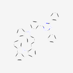 c1ccc(-c2nc(-c3ccccc3)nc(-c3cccc(-n4c5ccccc5c5cc(-c6cccc7c8cccc9c%10ccccc%10n(c67)c98)ccc54)c3)n2)cc1